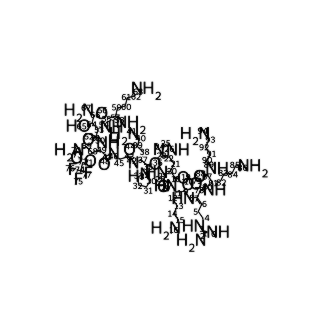 N=C(N)NCC/C=C(\NC(=O)[C@H](CCCCN)NC(=O)C(Cc1cnc[nH]1)NC(=O)[C@@H]1CCCN1C(=O)[C@@H](CCCN)NC(=O)CNC(=O)[C@@H](NC(=O)[C@@H](NC(=O)C(N)CCCCN)C(O)CN)[C@H](CN)OC(=O)C(F)(F)F)C(=O)N[C@@H](CCCCN)C(=O)NCCCCN